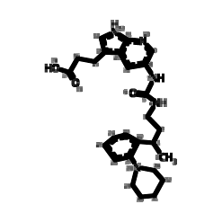 CC(CCNC(=O)Nc1cnc2[nH]cc(CCC(=O)O)c2c1)c1ccccc1N1CCCCC1